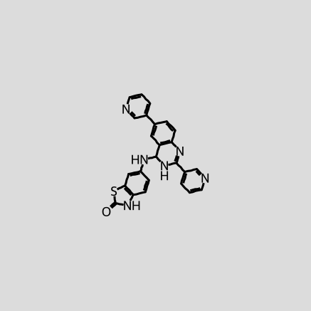 O=c1[nH]c2ccc(NC3NC(c4cccnc4)=Nc4ccc(-c5cccnc5)cc43)cc2s1